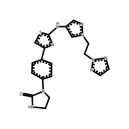 O=C1NCCN1c1ccc(-c2csc(Nc3cnn(CCn4nccn4)c3)n2)cc1